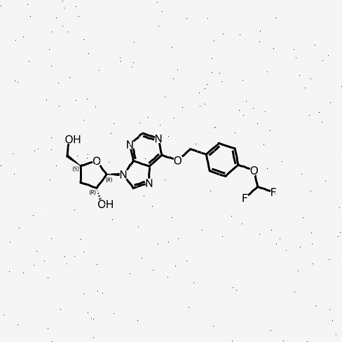 OC[C@@H]1C[C@@H](O)[C@H](n2cnc3c(OCc4ccc(OC(F)F)cc4)ncnc32)O1